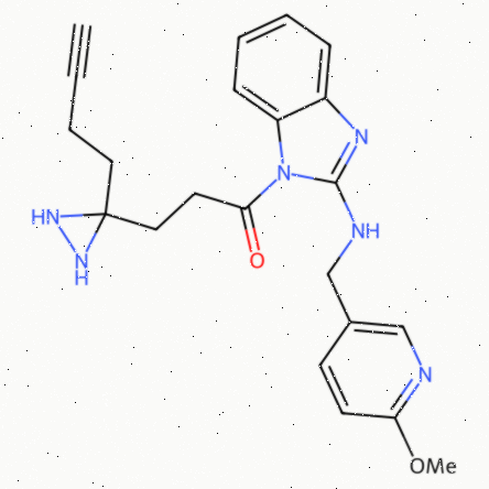 C#CCCC1(CCC(=O)n2c(NCc3ccc(OC)nc3)nc3ccccc32)NN1